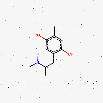 Cc1cc(O)c(CC(C)N(C)C)cc1O